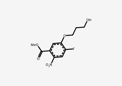 COC(=O)c1cc(OCCCO)c(F)cc1[N+](=O)[O-]